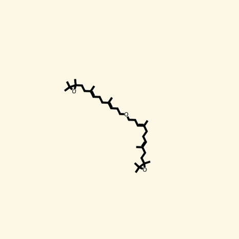 C/C(=C\CCOCC/C=C(\C)CC/C=C(\C)CCC1(C)OC1(C)C)CC/C=C(\C)CCC1(C)OC1(C)C